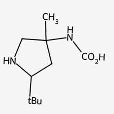 CC1(NC(=O)O)CNC(C(C)(C)C)C1